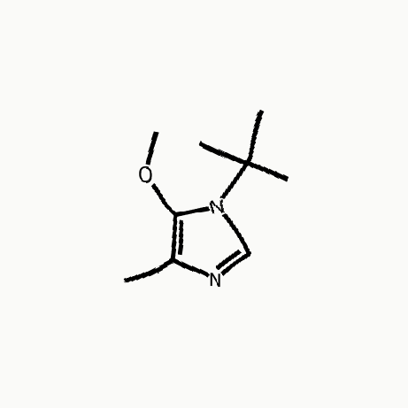 COc1c(C)ncn1C(C)(C)C